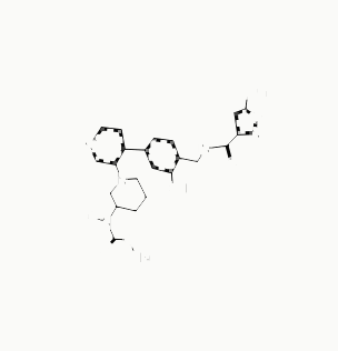 Cc1cc(-c2ccncc2N2CCCC(N(C)C(=O)OC(C)(C)C)C2)ccc1CNC(=O)c1cc(C(C)(C)C)on1